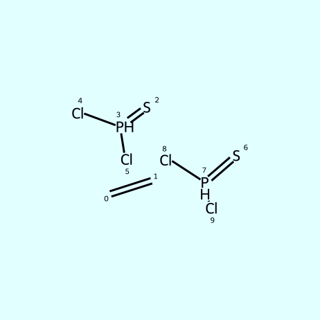 C=C.S=[PH](Cl)Cl.S=[PH](Cl)Cl